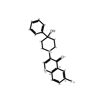 O=c1c(N2CCC(O)(c3ccccc3)CC2)coc2ccc(F)cc12